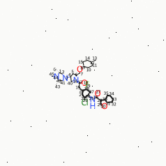 C[C@@H]1CN([C@H]2C[C@@H](CO[C@H]3CC[C@H](C)CC3)N(C(=O)Cc3cc(Cl)c(NC(=O)c4coc5ccccc45)cc3F)C2)C[C@H](C)N1C